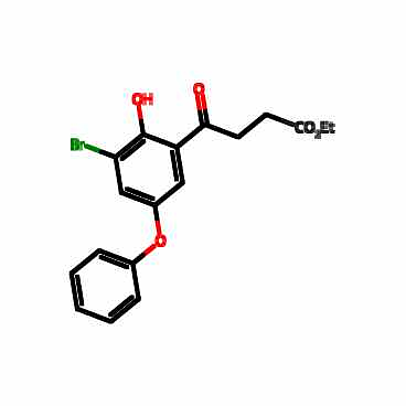 CCOC(=O)CCC(=O)c1cc(Oc2ccccc2)cc(Br)c1O